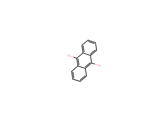 [B]c1c2ccccc2c([B])c2ccccc12